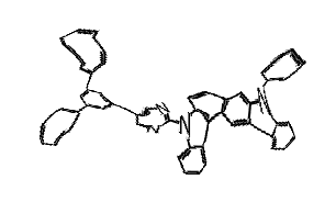 c1ccc(-c2cc(-c3ccccc3)cc(-c3cnc(-n4c5ccccc5c5c6cc7c8ccccc8n(-c8ccccc8)c7cc6ccc54)nc3)c2)cc1